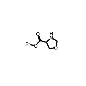 CCOC(=O)C1COCN1